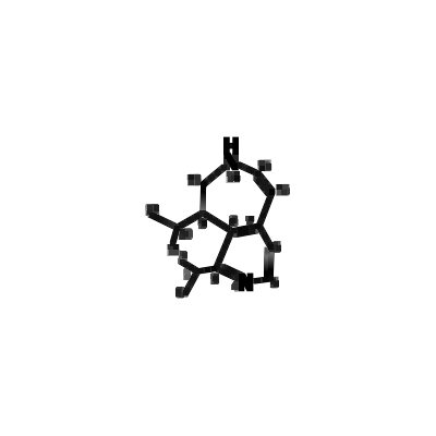 CC(C)c1nccc2c1C(C(C)C)CNC=C2